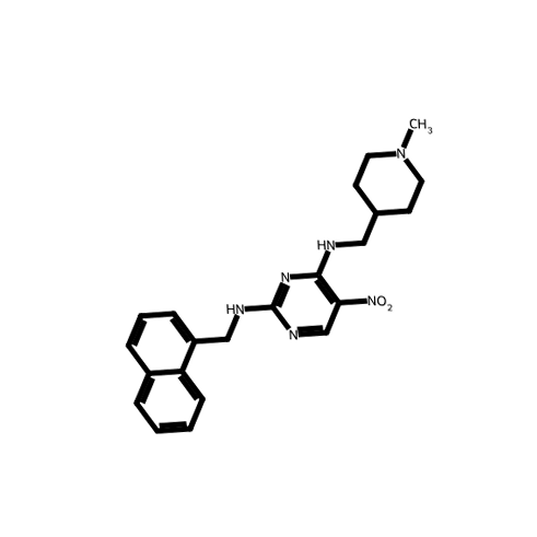 CN1CCC(CNc2nc(NCc3cccc4ccccc34)ncc2[N+](=O)[O-])CC1